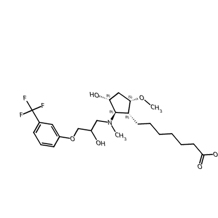 CO[C@H]1C[C@@H](O)[C@H](N(C)CC(O)COc2cccc(C(F)(F)F)c2)[C@H]1CCCCCCC(=O)O